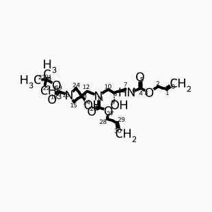 C=CCOC(=O)NC[C@H](O)CN(CC1(O)CN(C(=O)OC(C)(C)C)C1)C(=O)OCC=C